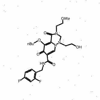 CCCCOc1c2n(cc(C(=O)NCc3ccc(F)cc3F)c1=O)N(CCO)CN(CCOC)C2=O